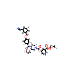 COC(=O)c1cncc(OC(=O)N2CCN(C(=O)c3ccc(OCc4cccc(C#N)c4)cc3)C(C)C2)c1